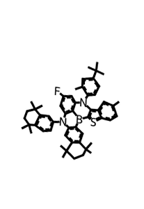 Cc1ccc2sc3c(c2c1)N(c1ccc(C(C)(C)C)cc1C)c1cc(F)cc2c1B3c1cc3c(cc1N2c1ccc2c(c1)C(C)(C)CCC2(C)C)C(C)(C)CCC3(C)C